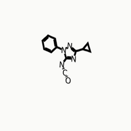 O=C=Nc1nc(C2CC2)nn1-c1ccccc1